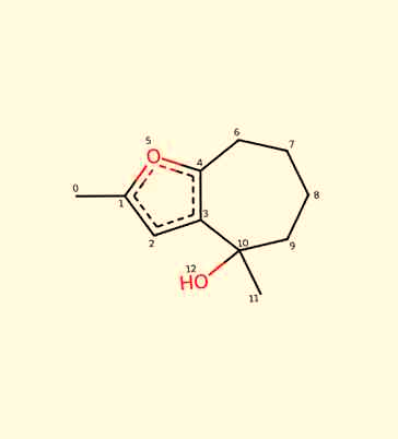 Cc1cc2c(o1)CCCCC2(C)O